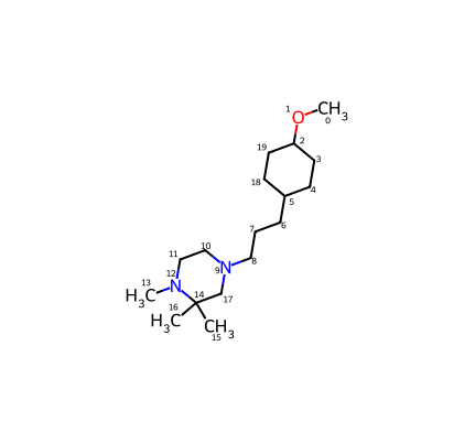 COC1CCC(CCCN2CCN(C)C(C)(C)C2)CC1